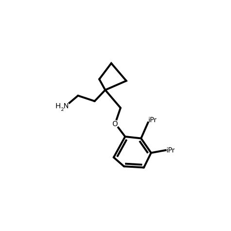 CC(C)c1cccc(OCC2(CCN)CCC2)c1C(C)C